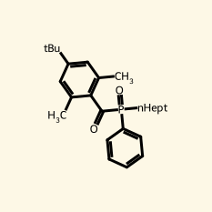 CCCCCCCP(=O)(C(=O)c1c(C)cc(C(C)(C)C)cc1C)c1ccccc1